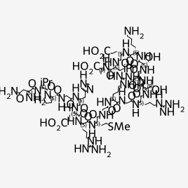 CSCC[C@H](NC(=O)[C@H](CCCNC(=N)N)NC(=O)[C@H](CCC(=O)O)NC(=O)[C@H](Cc1c[nH]cn1)NC(=O)CNC(=O)[C@@H]1CCCN1C(=O)[C@@H](NC(=O)[C@@H](N)CC(N)=O)C(C)C)C(=O)NCC(=O)N[C@@H](CCCNC(=N)N)C(=O)NCC(=O)N[C@@H](CCCNC(=N)N)C(=O)N[C@H](C(=O)N[C@@H](CO)C(=O)N[C@@H](CO)C(=O)N[C@@H](CCCCN)C(=O)N[C@@H](CCC(=O)O)C(=O)N[C@@H](CC(C)C)C(=O)N[C@@H](C)C(=O)O)[C@@H](C)O